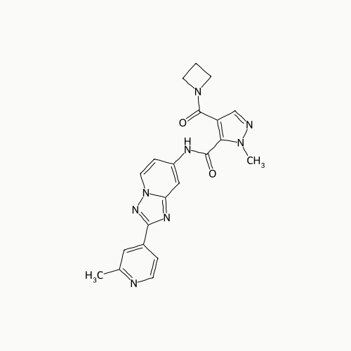 Cc1cc(-c2nc3cc(NC(=O)c4c(C(=O)N5CCC5)cnn4C)ccn3n2)ccn1